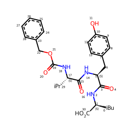 CCC(C)[C@H](NC(=O)[C@H](Cc1ccc(O)cc1)NC(=O)[C@@H](NC(=O)OCc1ccccc1)C(C)C)C(=O)O